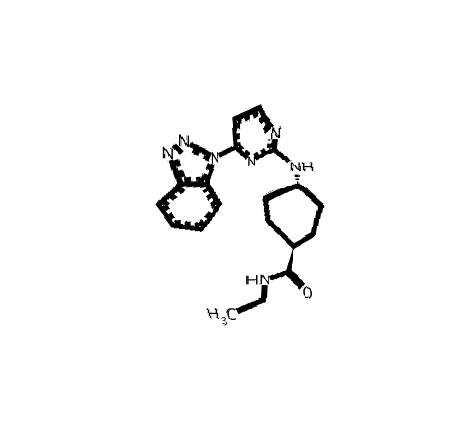 CCNC(=O)[C@H]1CC[C@H](Nc2nccc(-n3nnc4ccccc43)n2)CC1